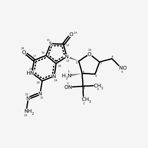 CC(C)(N=O)[C@]1(N)CC(CN=O)O[C@H]1n1c(=O)sc2c(=O)[nH]c(N=NN)nc21